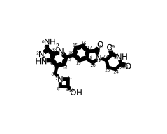 Nc1n[nH]c2c(CN3CC(O)C3)cc(-c3ccc4c(c3)CN(C3CCC(=O)NC3=O)C4=O)nc12